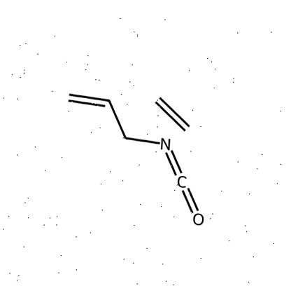 C=C.C=CCN=C=O